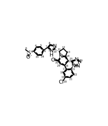 C[S+]([O-])c1ccc(-c2cnc([C@@H]3CCc4cc(-c5cc(Cl)ccc5-n5cnnn5)cc(=O)n43)[nH]2)cc1